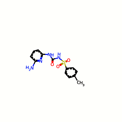 Cc1ccc(S(=O)(=O)NC(=O)Nc2cccc(N)n2)cc1